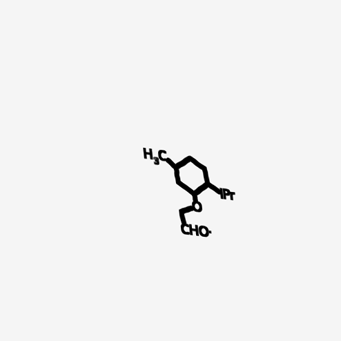 CC1CCC(C(C)C)C(OC[C]=O)C1